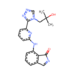 CC(C)(O)Cn1cnnc1-c1cccc(Nc2cccc3c2C(=O)N=C3)n1